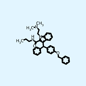 CCCNC(=O)c1c(C(c2ccccc2)c2ccc(OCc3ccccc3)cc2)c2ccccc2n1CCN(C)C